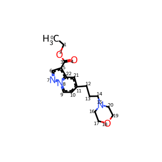 CCOC(=O)c1cnn2ccc(CCCN3CCOCC3)cc12